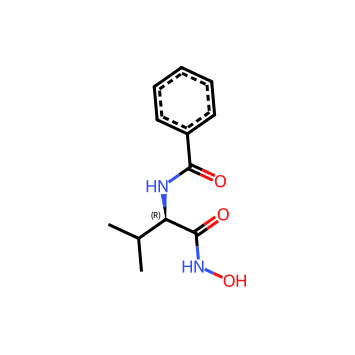 CC(C)[C@@H](NC(=O)c1ccccc1)C(=O)NO